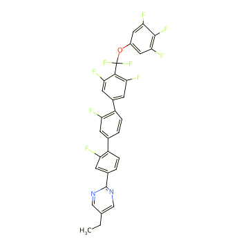 CCc1cnc(-c2ccc(-c3ccc(-c4cc(F)c(C(F)(F)Oc5cc(F)c(F)c(F)c5)c(F)c4)c(F)c3)c(F)c2)nc1